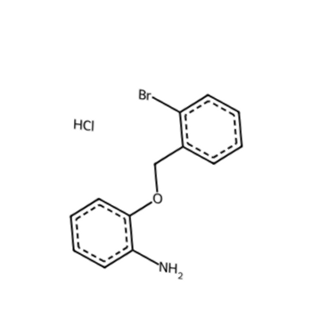 Cl.Nc1ccccc1OCc1ccccc1Br